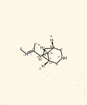 C/N=C(\C)N[C@@H]1[C@@H]2CC[C@H]1CNC2